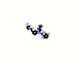 COC1CCN(C(=O)Cc2cccc(-n3nc(C(C)(C)C)cc3NC(=O)Nc3cccc(Cl)c3Cl)c2)C1